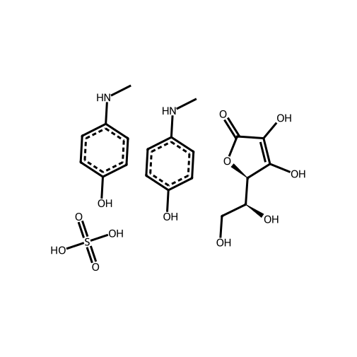 CNc1ccc(O)cc1.CNc1ccc(O)cc1.O=C1O[C@H]([C@@H](O)CO)C(O)=C1O.O=S(=O)(O)O